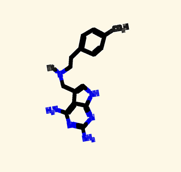 CCN(CCc1ccc(C(=O)O)cc1)Cc1c[nH]c2nc(N)nc(N)c12